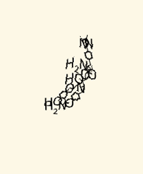 Cc1nc(-c2ccc(C[C@H](N)C(=O)OCC(O)CN(CCOc3ccc(O)c(C(N)=O)c3)Cc3ccccc3)cc2)n(C)c1C